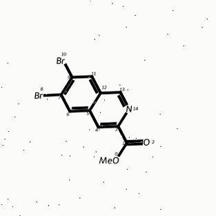 COC(=O)c1cc2cc(Br)c(Br)cc2cn1